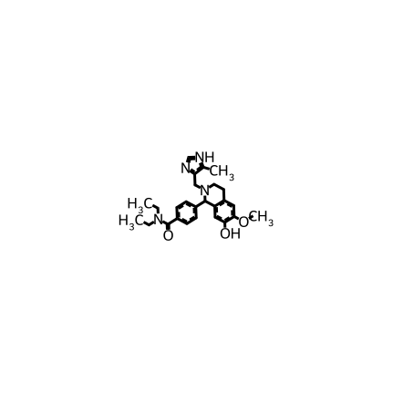 CCN(CC)C(=O)c1ccc(C2c3cc(O)c(OC)cc3CCN2Cc2nc[nH]c2C)cc1